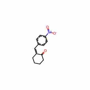 O=C1CCCC/C1=C/c1ccc([N+](=O)[O-])cc1